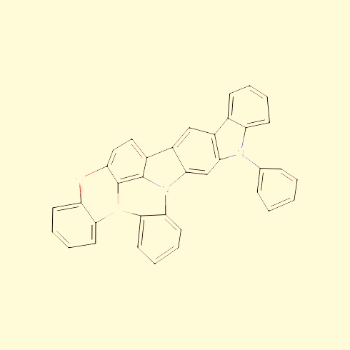 c1ccc(-n2c3ccccc3c3cc4c5ccc6c7c5n(c4cc32)-c2ccccc2B7c2ccccc2O6)cc1